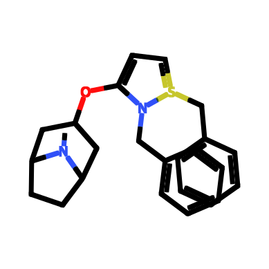 CN1C2CCC1CC(OC1=CC=S(Cc3ccccc3)N1Cc1ccccc1)C2